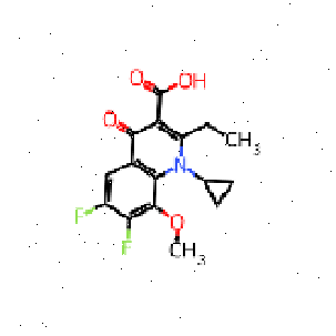 CCc1c(C(=O)O)c(=O)c2cc(F)c(F)c(OC)c2n1C1CC1